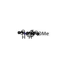 CCOC(C(=O)NCc1ccc(/N=C/NC(=O)OCc2ccccc2)cc1)c1c(F)cc(Oc2cccc(OC)c2)cc1F